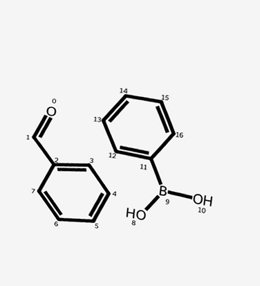 O=Cc1ccccc1.OB(O)c1ccccc1